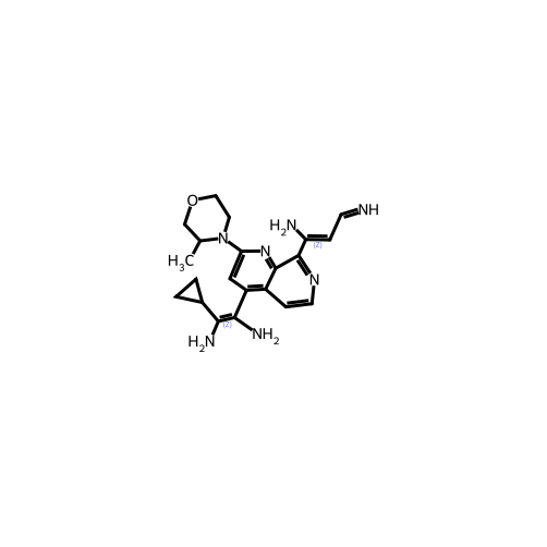 CC1COCCN1c1cc(/C(N)=C(/N)C2CC2)c2ccnc(/C(N)=C/C=N)c2n1